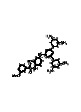 COc1cccc(S(=O)(=O)Nc2ccc(Nc3nc(N4C[C@H](N)C[C@H](N)C4)nc(N4C[C@H](N)C[C@H](N)C4)n3)cc2O)c1